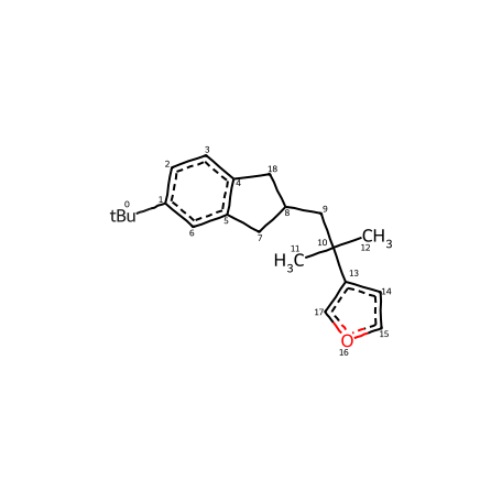 CC(C)(C)c1ccc2c(c1)CC(CC(C)(C)c1ccoc1)C2